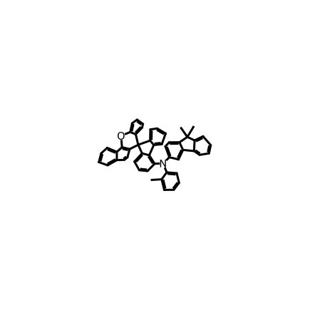 Cc1ccccc1N(c1ccc2c(c1)-c1ccccc1C2(C)C)c1cccc2c1-c1ccccc1C21c2ccccc2Oc2c1ccc1ccccc21